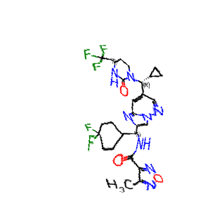 Cc1nonc1C(=O)N[C@H](c1cn2ncc([C@@H](C3CC3)N3CC[C@H](C(F)(F)F)NC3=O)cc2n1)C1CCC(F)(F)CC1